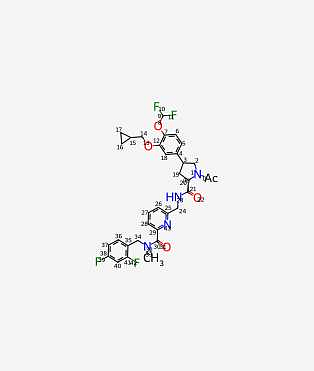 CC(=O)N1CC(c2ccc(OC(F)F)c(OCC3CC3)c2)C[C@@H]1C(=O)NCc1cccc(C(=O)N(C)Cc2ccc(F)cc2F)n1